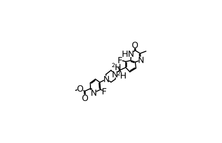 [2H]C([2H])(c1ccc2nc(C)c(=O)[nH]c2c1F)N1CCN(c2ccc(C(=O)OC)nc2F)CC1